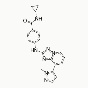 Cn1nccc1-c1cccn2nc(Nc3ccc(C(=O)NC4CC4)cc3)nc12